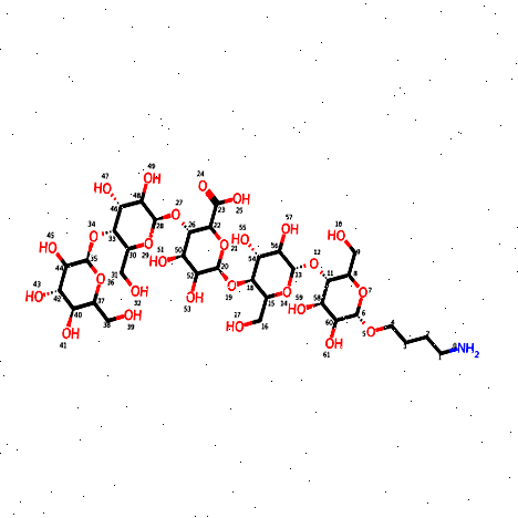 NCCCCO[C@H]1OC(CO)[C@@H](O[C@@H]2OC(CO)[C@@H](O[C@@H]3OC(C(=O)O)[C@@H](O[C@H]4OC(CO)[C@H](O[C@H]5OC(CO)[C@@H](O)[C@H](O)C5O)[C@H](O)C4O)[C@H](O)C3O)[C@H](O)C2O)[C@H](O)C1O